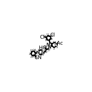 CC(=O)N1CCc2c(c(-c3cc(Cl)cc(Cl)c3)nn2CC(O)CN2CCN(c3ccccc3C#N)CC2)C1